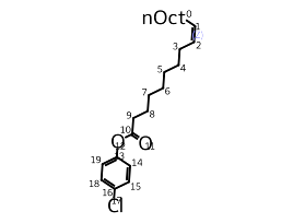 CCCCCCCC/C=C\CCCCCCCC(=O)Oc1ccc(Cl)cc1